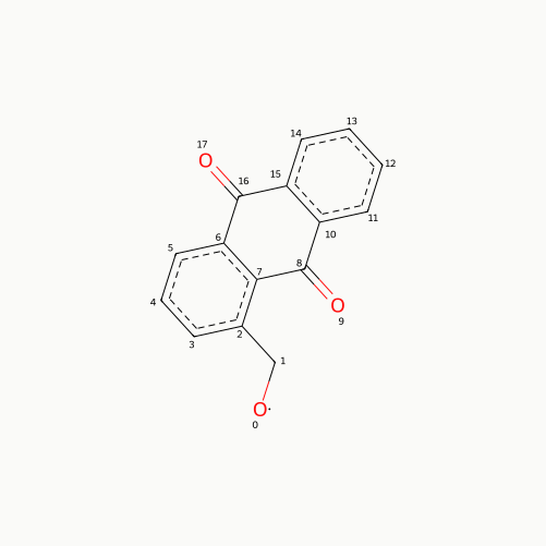 [O]Cc1cccc2c1C(=O)c1ccccc1C2=O